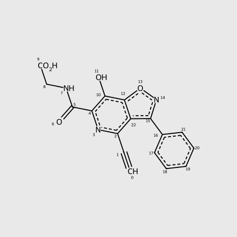 C#Cc1nc(C(=O)NCC(=O)O)c(O)c2onc(-c3ccccc3)c12